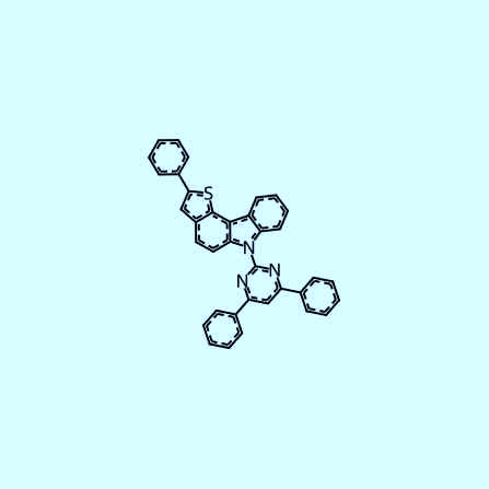 c1ccc(-c2cc(-c3ccccc3)nc(-n3c4ccccc4c4c5sc(-c6ccccc6)cc5ccc43)n2)cc1